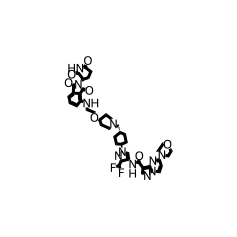 O=C1CCC(N2C(=O)c3cccc(NCCOC4CCN(C[C@H]5CC[C@H](n6cc(NC(=O)c7cnn8ccc(N9CCOCC9)nc78)c(C(F)F)n6)CC5)CC4)c3C2=O)C(=O)N1